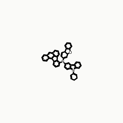 C1=CC(n2c3ccccc3c3cc(N(C4=CC5Oc6ccccc6C5C=C4)c4cccc5c4-c4cccc6cc7ccccc7c-5c46)ccc32)=CCC1